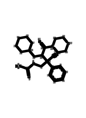 N#CC(COC(N)=O)(c1ccccc1)C(CC1CCCCC1)C(=O)N1CCOCC1